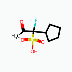 CC(=O)C(F)(C1CCCC1)S(=O)(=O)O